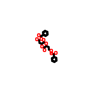 O=C(CC1OC(=O)C(CCOOC(=O)c2ccccc2)OC1=O)OC(=O)c1ccccc1